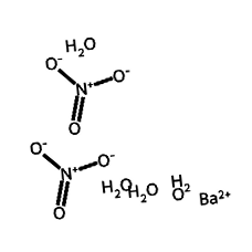 O.O.O.O.O=[N+]([O-])[O-].O=[N+]([O-])[O-].[Ba+2]